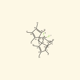 CC1=C(C)[C](C)([Zr]([F])([F])([SiH](C)C)[C]2(C)C(C)=C(C)C(C)=C2C)C(C)=C1C